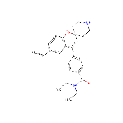 C=Cc1ccc2c(c1)C(c1ccc(C(=O)N(CC)CC)cc1)=CC1(CCNCC1)O2